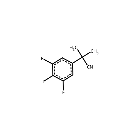 CC(C)(C#N)c1cc(F)c(I)c(F)c1